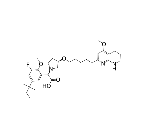 CCC(C)(C)c1cc(F)c(OC)c([C@H](C(=O)O)N2CC[C@@H](OCCCCCc3cc(OC)c4c(n3)NCCC4)C2)c1